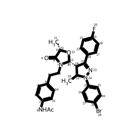 CC(=O)Nc1ccc(CCN2C(=O)[C@H](C)O[C@@H]2C2C(c3ccc(F)cc3)=NN(c3ccc(Br)cc3)C2C)cc1